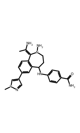 C/C(N)=C1\c2ccc(-c3cnn(C)c3)cc2C(Nc2ccc(C(N)=O)cc2)CCN1N